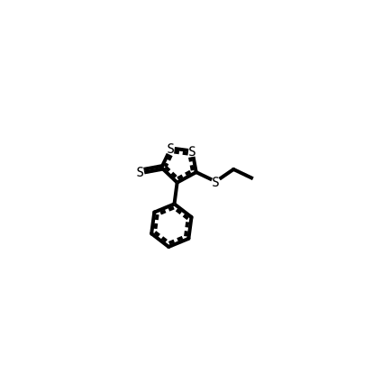 CCSc1ssc(=S)c1-c1ccccc1